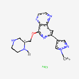 CCN1CCNC[C@H]1COc1nc(-c2cnn(C)c2)cc2nccnc12.Cl